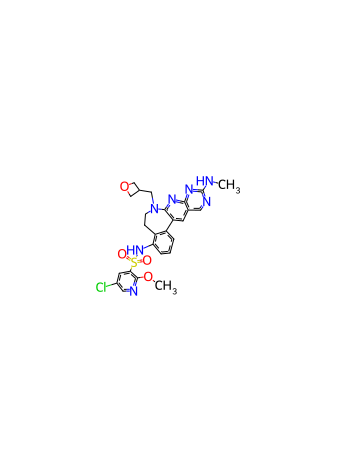 CNc1ncc2cc3c(nc2n1)N(CC1COC1)CCc1c(NS(=O)(=O)c2cc(Cl)cnc2OC)cccc1-3